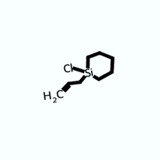 C=CC[Si]1(Cl)CCCCC1